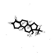 CCC12CC[C@H]3[C@@H](CCC4=C(Cl)C(=O)CC[C@@H]43)[C@@H]1CC[C@@]2(O)C(F)(F)F